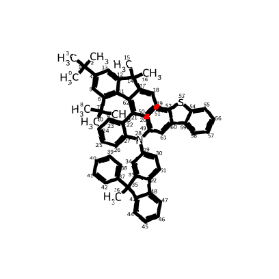 CC(C)(C)c1cc(C(C)(C)C)c2c(c1)C(C)(C)c1cccc(-c3ccccc3N(c3ccc4c(c3)C(C)(c3ccccc3)c3ccccc3-4)c3ccc4sc5ccccc5c4c3)c1-2